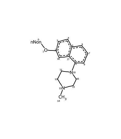 CCCCCCCCCOc1ccc2cccc(N3CCN(C)CC3)c2c1